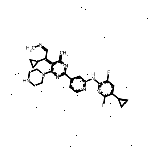 C=c1nc(-c2ccnc(Nc3nc(F)c(C4CC4)cc3F)c2)nc(N2CCNCC2)/c1=C(/C=N\C)C1CC1